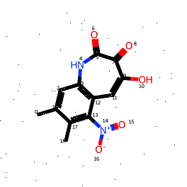 Cc1cc2[nH]c(=O)c(=O)c(O)cc2c([N+](=O)[O-])c1C